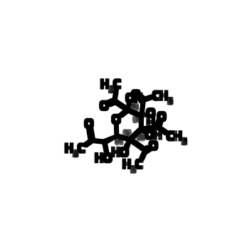 CC(=O)C(O)[C@H]1O[C@](O)(C(C)=O)[C@@](O)(C(C)=O)[C@](O)(C(C)=O)[C@]1(O)C(C)=O